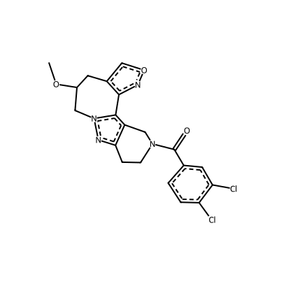 COC1Cc2conc2-c2c3c(nn2C1)CCN(C(=O)c1ccc(Cl)c(Cl)c1)C3